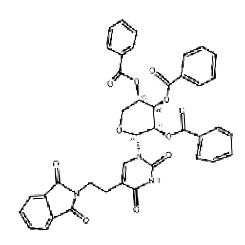 O=C(O[C@@H]1[C@H](OC(=O)c2ccccc2)[C@H](OC(=O)c2ccccc2)CO[C@H]1n1cc(CCN2C(=O)c3ccccc3C2=O)c(=O)[nH]c1=O)c1ccccc1